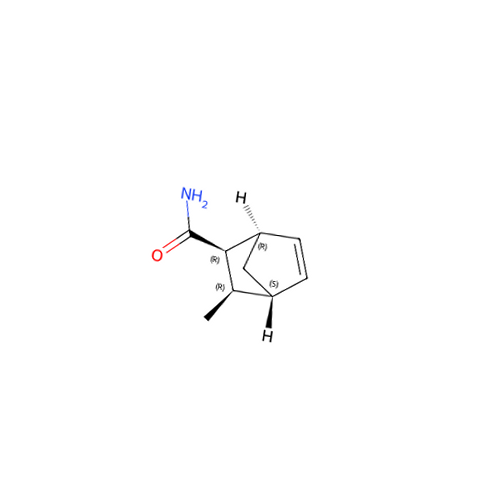 C[C@H]1[C@@H](C(N)=O)[C@H]2C=C[C@H]1C2